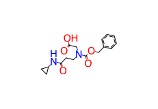 O=C(O)CN(CCC(=O)NC1CC1)C(=O)OCc1ccccc1